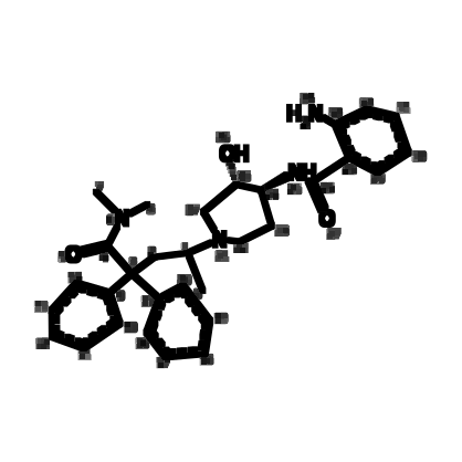 CC(CC(C(=O)N(C)C)(c1ccccc1)c1ccccc1)N1CC[C@H](NC(=O)c2ccccc2N)[C@@H](O)C1